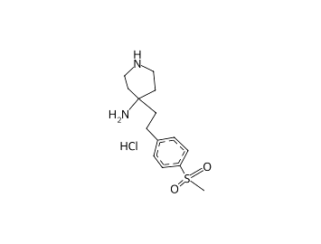 CS(=O)(=O)c1ccc(CCC2(N)CCNCC2)cc1.Cl